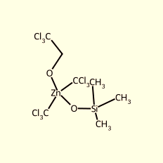 C[Si](C)(C)[O][Zn]([O]CC(Cl)(Cl)Cl)([C](Cl)(Cl)Cl)[C](Cl)(Cl)Cl